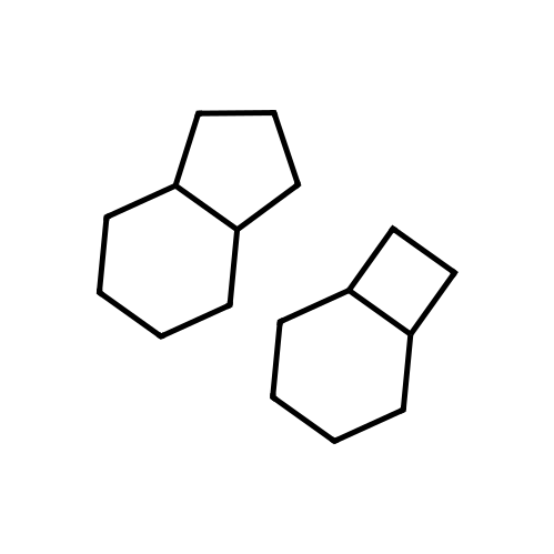 C1CCC2CCC2C1.C1CCC2CCCC2C1